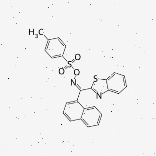 Cc1ccc(S(=O)(=O)O/N=C(\c2nc3ccccc3s2)c2cccc3ccccc23)cc1